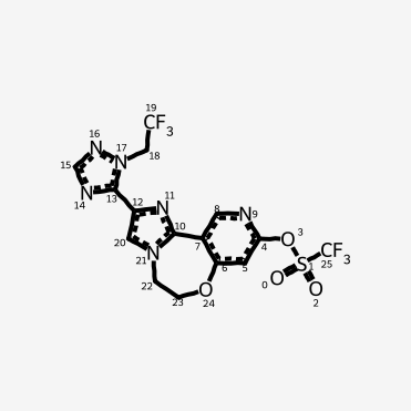 O=S(=O)(Oc1cc2c(cn1)-c1nc(-c3ncnn3CC(F)(F)F)cn1CCO2)C(F)(F)F